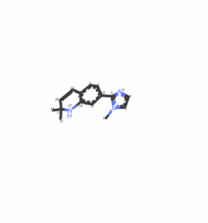 Cn1ccnc1-c1ccc2c(c1)NC(C)(C)C=C2